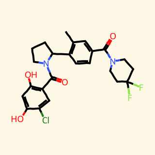 Cc1cc(C(=O)N2CCC(F)(F)CC2)ccc1C1CCCN1C(=O)c1cc(Cl)c(O)cc1O